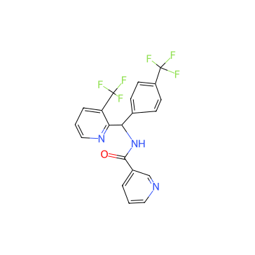 O=C(NC(c1ccc(C(F)(F)F)cc1)c1ncccc1C(F)(F)F)c1cccnc1